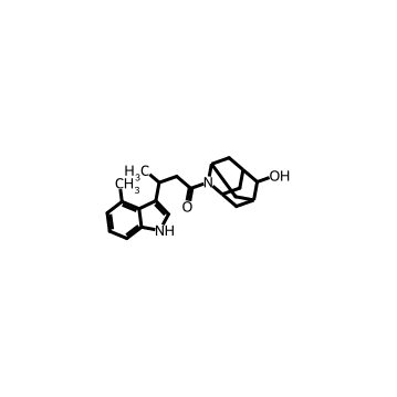 Cc1cccc2[nH]cc(C(C)CC(=O)N3C4CC5CC3CC(C4)C5O)c12